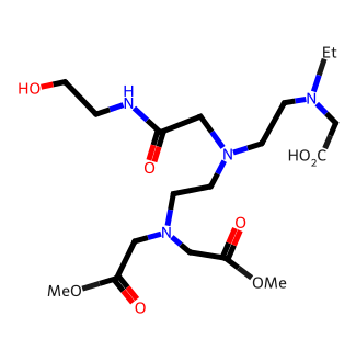 CCN(CCN(CCN(CC(=O)OC)CC(=O)OC)CC(=O)NCCO)CC(=O)O